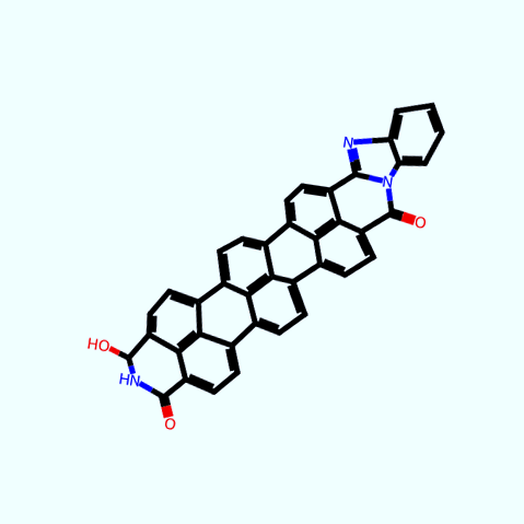 O=C1NC(O)c2ccc3c4ccc5c6ccc7c8c(ccc(c9ccc(c%10ccc1c2c%103)c4c95)c68)c(=O)n1c2ccccc2nc71